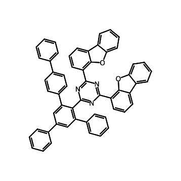 c1ccc(-c2ccc(-c3cc(-c4ccccc4)cc(-c4ccccc4)c3-c3nc(-c4cccc5c4oc4ccccc45)nc(-c4cccc5c4oc4ccccc45)n3)cc2)cc1